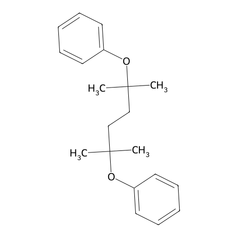 CC(C)(CCC(C)(C)Oc1ccccc1)Oc1ccccc1